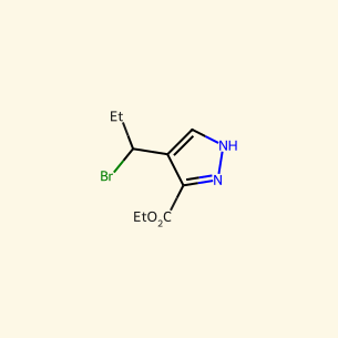 CCOC(=O)c1n[nH]cc1C(Br)CC